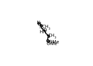 COc1ccc(CCN(C)CCCCNC(=O)C/C=C/c2sc(-n3ccnc3)cc2C)cc1OC